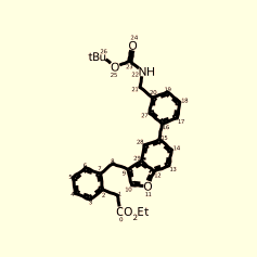 CCOC(=O)Cc1ccccc1Cc1coc2ccc(-c3cccc(CNC(=O)OC(C)(C)C)c3)cc12